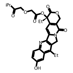 CCc1c2c(nc3ccc(O)cc13)-c1cc3c(c(=O)n1C2)COC(=O)[C@@]3(CC)OC(=O)COCC(=O)C(C)C